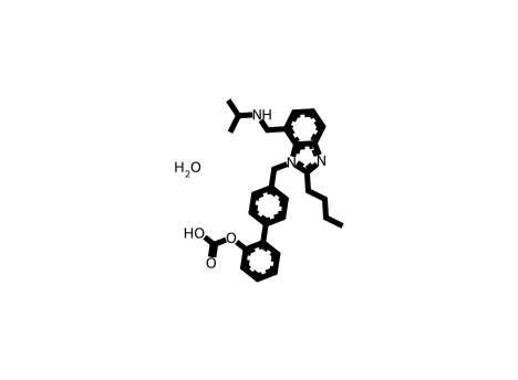 CCCCc1nc2cccc(CNC(C)C)c2n1Cc1ccc(-c2ccccc2OC(=O)O)cc1.O